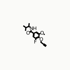 C#CCOc1c(F)cc(C(=O)NC(C)C(C)C)cc1OC